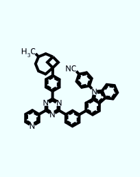 CC1CCCC2(c3ccc(-c4nc(-c5cccnc5)nc(-c5cccc(-c6ccc7c8ccccc8n(-c8ccc(C#N)cc8)c7c6)c5)n4)cc3)CC(C1)C2